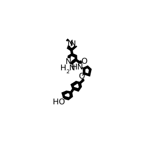 Cn1cc(-c2cnc(N)c(C(=O)N[C@H]3CCC[C@@H]3OCc3ccc(-c4ccc(O)cc4)cc3)c2)cn1